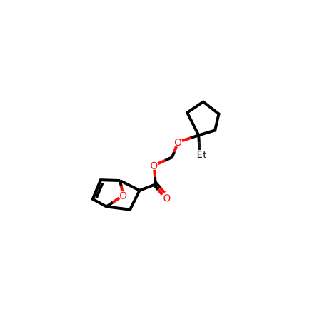 CCC1(OCOC(=O)C2CC3C=CC2O3)CCCC1